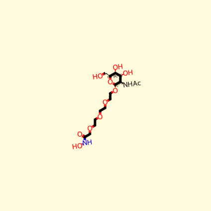 CC(=O)N[C@H]1[C@H](OCCOCCOCCOCC(=O)NO)O[C@H](CO)[C@H](O)[C@@H]1O